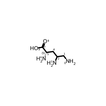 NCC(N)C[C@H](N)C(=O)O